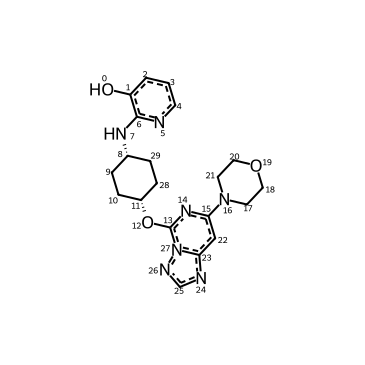 Oc1cccnc1N[C@H]1CC[C@@H](Oc2nc(N3CCOCC3)cc3ncnn23)CC1